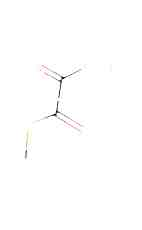 CCSC(=O)C(=O)C(=O)O